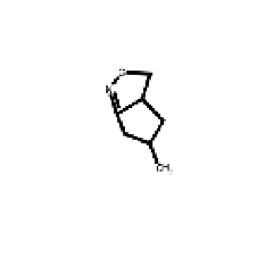 CC1CC2=NOCC2C1